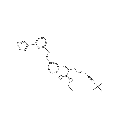 CCOC(=O)C(=Cc1cccc(C=Cc2cccc(-c3ccsc3)c2)c1)CC=CC#CC(C)(C)C